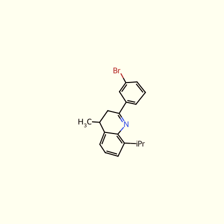 CC(C)c1cccc2c1N=C(c1cccc(Br)c1)CC2C